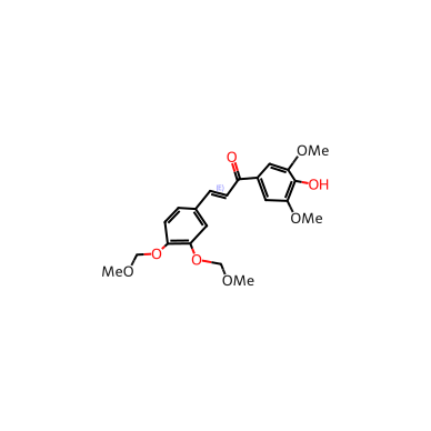 COCOc1ccc(/C=C/C(=O)c2cc(OC)c(O)c(OC)c2)cc1OCOC